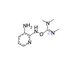 C/N=C(/ONc1ncccc1N)N(C)C